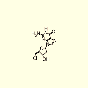 Nc1nc2c(ncn2[C@H]2C[C@H](O)/C(=C\Cl)O2)c(=O)[nH]1